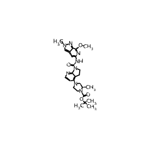 COc1nc(NC(=O)N2CCc3c(N4CCN(C(=O)OC(C)(C)C)[C@H](C)C4)ccnc32)cc2cn(C)nc12